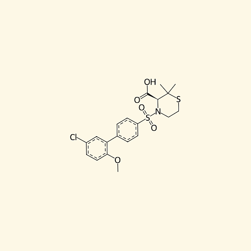 COc1ccc(Cl)cc1-c1ccc(S(=O)(=O)N2CCSC(C)(C)[C@@H]2C(=O)O)cc1